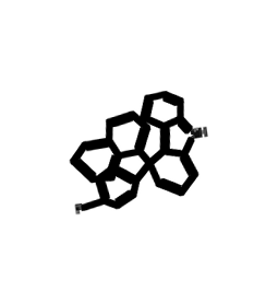 Fc1ccc(C2(c3cccc4ccccc34)C=CC=C3[SiH]=c4ccccc4=C32)cc1